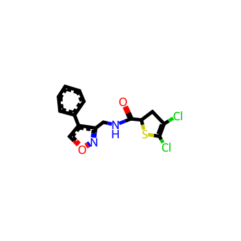 O=C(NCc1nocc1-c1ccccc1)C1CC(Cl)=C(Cl)S1